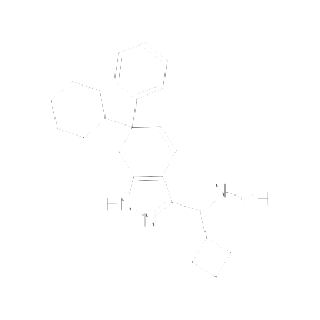 ON=C(c1n[nH]c2c1C=CC(c1ccccc1)(C1CCCCC1)C2)C1CCC1